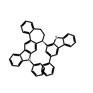 c1ccc(-c2cc([C@@H]3CCc4ccccc4-c4cc5c6ccccc6n(-c6ccccc6)c5cc43)c3sc4ccccc4c3c2)cc1